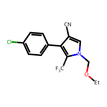 CCOCn1cc(C#N)c(-c2ccc(Cl)cc2)c1C(F)(F)F